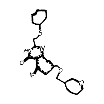 O=c1[nH]c(CSC2CCCCC2)nc2cc(OCC3CCCOC3)cc(F)c12